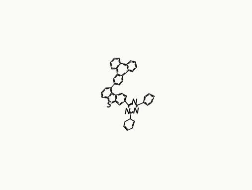 C1=CCC(c2nc(-c3ccccc3)nc(-c3ccc4c(c3)sc3cccc(-c5ccc6c7ccccc7c7ccccc7c6c5)c34)n2)C=C1